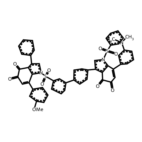 COc1cccc(C2=CC(=O)C(=O)c3c(-c4ccccc4)cn(S(=O)(=O)c4cccc(-c5ccc(-c6cn(S(=O)(=O)c7ccccc7)c7c6C(=O)C(=O)C=C7c6cccc(N(C)C)c6)cc5)c4)c32)c1